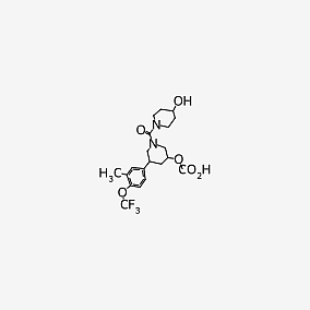 Cc1cc(C2CC(OC(=O)O)CN(C(=O)N3CCC(O)CC3)C2)ccc1OC(F)(F)F